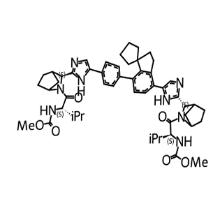 COC(=O)N[C@H](C(=O)N1C2CCC(C2)[C@H]1c1ncc(-c2ccc(-c3ccc(-c4cnc([C@@H]5C6CCC(C6)N5C(=O)[C@@H](NC(=O)OC)C(C)C)[nH]4)c4c3C3(CCCC3)CC4)cc2)[nH]1)C(C)C